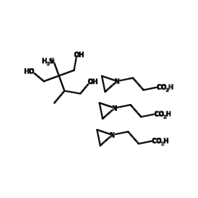 CC(CO)C([SiH3])(CO)CO.O=C(O)CCN1CC1.O=C(O)CCN1CC1.O=C(O)CCN1CC1